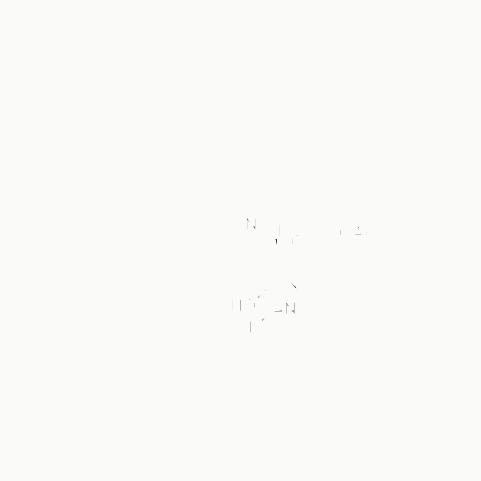 CC(=O)Oc1ccc2c3c1O[C@H]1[C@@H](N(CCCCCCc4ccccc4)CCCc4ccccc4)CC[C@@]4(O)[C@@H](C2)N(CC2CC2)CC[C@]314